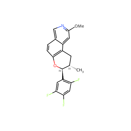 COc1cc2c3c(ccc2cn1)O[C@H](c1cc(F)c(F)cc1F)[C@@H](C)C3